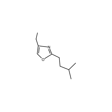 CCc1coc(CCC(C)C)n1